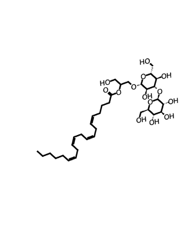 CCCCC/C=C\C/C=C\C/C=C\C/C=C\CCCC(=O)OC(CO)CO[C@@H]1O[C@H](CO)[C@@H](O)[C@H](O[C@@H]2O[C@H](CO)[C@@H](O)[C@H](O)[C@H]2O)[C@H]1O